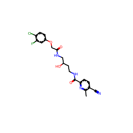 Cc1nc(C(=O)NCCC(O)CNC(=O)COc2ccc(Cl)c(F)c2)ccc1C#N